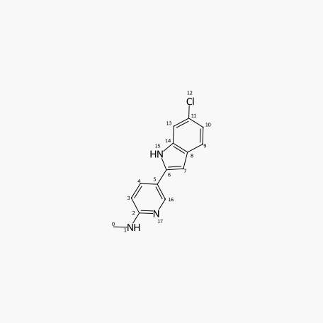 CNc1ccc(-c2cc3ccc(Cl)cc3[nH]2)cn1